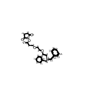 O=C(CCOCCOCCN(Cc1ccccc1)Cc1ccccc1)ON1C(=O)CCC1=O